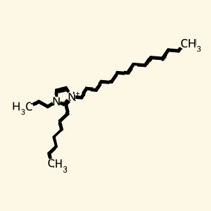 CCCCCCCCCCCCCC[n+]1ccn(CCC)c1CCCCCCC